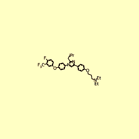 CCN(CC)CCCOc1ccc(-c2cn(-c3ccc(Oc4ccc(F)c(C(F)(F)F)c4)cc3)c(CC(C)C)n2)cc1